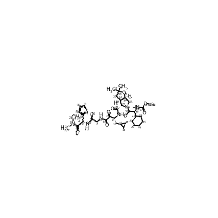 CN(C)C(=O)[C@@H](NC(=O)CNC(=O)C(=O)[C@@H](CC1CC1)NC(=O)[C@@H]1[C@H]2CC(C)(C)O[C@H]2CN1C(=O)[C@@H](NC(=O)OC(C)(C)C)C1CCCCC1)c1cccs1